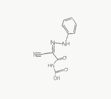 N#CC(=NNc1ccccc1)C(=O)NC(=O)O